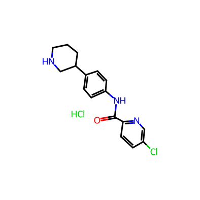 Cl.O=C(Nc1ccc(C2CCCNC2)cc1)c1ccc(Cl)cn1